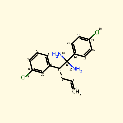 C=CC[C@H](c1cccc(Cl)c1)C(N)(N)c1ccc(Cl)cc1